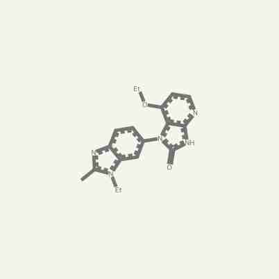 CCOc1ccnc2[nH]c(=O)n(-c3ccc4nc(C)n(CC)c4c3)c12